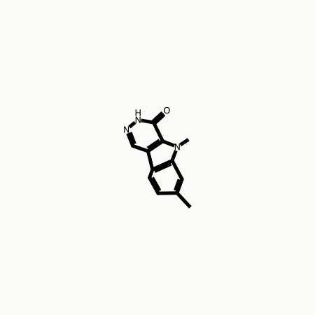 Cc1ccc2c3cn[nH]c(=O)c3n(C)c2c1